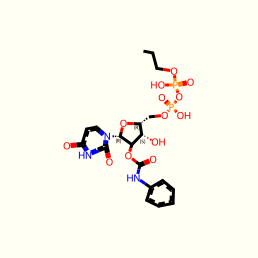 CCCOP(=O)(O)OP(=O)(O)OC[C@H]1O[C@@H](n2ccc(=O)[nH]c2=O)C(OC(=O)Nc2ccccc2)[C@H]1O